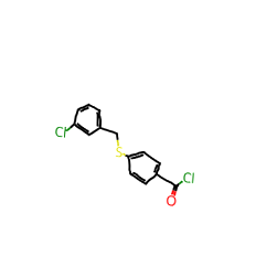 O=C(Cl)c1ccc(SCc2cccc(Cl)c2)cc1